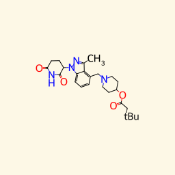 Cc1nn(C2CCC(=O)NC2=O)c2cccc(CN3CCC(OC(=O)CC(C)(C)C)CC3)c12